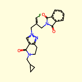 O=C1c2cn(C/C(=C/F)CN3C(=O)c4ccccc4C3=O)nc2CCN1CC1CC1